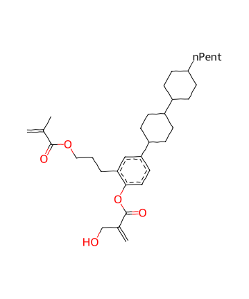 C=C(C)C(=O)OCCCc1cc(C2CCC(C3CCC(CCCCC)CC3)CC2)ccc1OC(=O)C(=C)CO